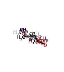 CC(=O)O[C@@H](/C=C/[C@H](C)[C@H](C=O)/C(C)=C/C=C/[C@@H](C)COC(=O)N(C)C)[C@@](C)(O)CC[C@H](O)CC=O